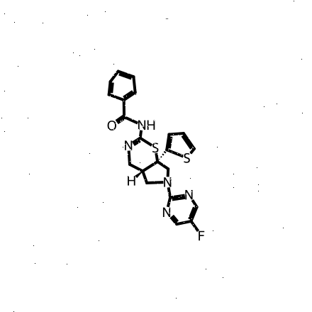 O=C(NC1=NC[C@H]2CN(c3ncc(F)cn3)C[C@]2(c2cccs2)S1)c1ccccc1